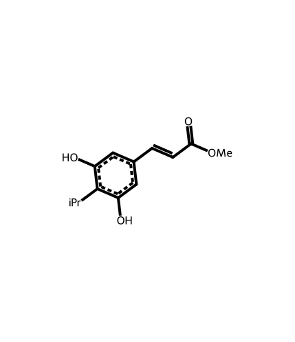 COC(=O)C=Cc1cc(O)c(C(C)C)c(O)c1